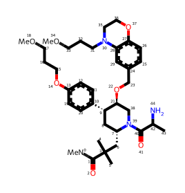 CNC(=O)C(C)(C)C[C@@H]1C[C@H](c2ccc(OCCCOC)cc2)[C@@H](OCc2ccc3c(c2)N(CCCOC)CCO3)CN1C(=O)C(C)N